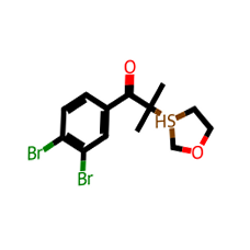 CC(C)(C(=O)c1ccc(Br)c(Br)c1)[SH]1CCOC1